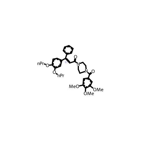 CCCOc1ccc(/C(=C/C(=O)N2CCN(C(=O)c3cc(OC)c(OC)c(OC)c3)CC2)c2ccccc2)cc1OCCC